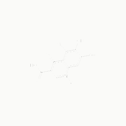 Cn1cc(C(=O)O)c(=O)c2c(Cl)c(O)c(O)cc21